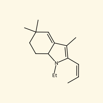 C/C=C\C1=C(C)C2=CC(C)(C)CCC2N1CC